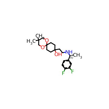 C[C@H](NCCC1(O)CCC2(CC1)OCC(C)(C)CO2)c1ccc(F)c(F)c1